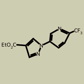 CCOC(=O)c1cnn(-c2ccc(C(F)(F)F)nc2)c1